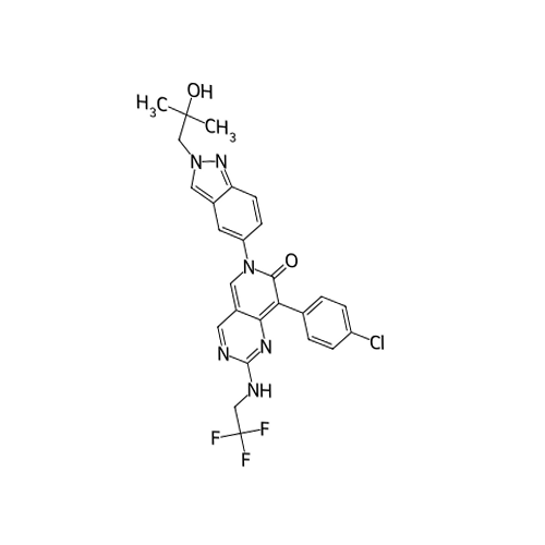 CC(C)(O)Cn1cc2cc(-n3cc4cnc(NCC(F)(F)F)nc4c(-c4ccc(Cl)cc4)c3=O)ccc2n1